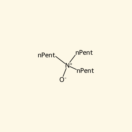 CCCCC[N+]([O-])(CCCCC)CCCCC